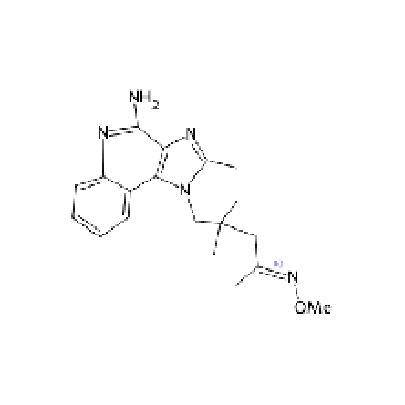 CO/N=C(\C)CC(C)(C)Cn1c(C)nc2c(N)nc3ccccc3c21